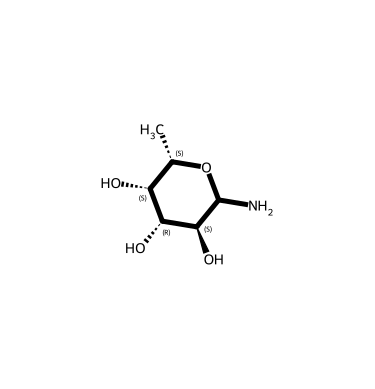 C[C@@H]1OC(N)[C@@H](O)[C@H](O)[C@@H]1O